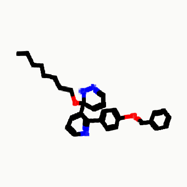 CCCCCCCCOC1(c2cccnc2-c2ccc(OCc3ccccc3)cc2)C=CC=NN1